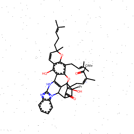 COC(=O)/C(C)=C\CC1(O)C(=O)C2CC(C(C)C)C13Oc1c(CC=C(C)C)c4c(c(O)c1C1=C3C2n2c(nc3ccccc32)N1)C=CC(C)(CCC=C(C)C)O4